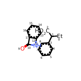 CCC(C(=O)O)c1ccccc1.O=C1Nc2ccccc21